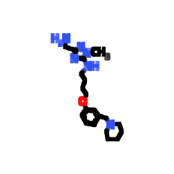 Cn1nc(CN)nc1NCCCCOc1cccc(CN2CCCCC2)c1